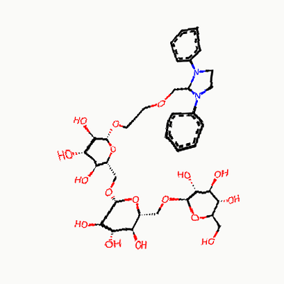 OC[C@H]1O[C@@H](OC[C@H]2O[C@@H](OC[C@H]3O[C@@H](OCCOCC4N(c5ccccc5)CCN4c4ccccc4)[C@H](O)[C@@H](O)[C@@H]3O)[C@H](O)[C@@H](O)[C@@H]2O)[C@H](O)[C@@H](O)[C@@H]1O